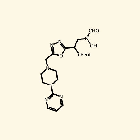 CCCCCC(CN(O)C=O)c1nnc(CN2CCN(c3ncccn3)CC2)o1